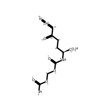 CC(C)C(=O)OCOC(=O)N[C@@H](CCC(=O)C=[N+]=[N-])C(=O)O